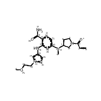 C=CC(=O)N1CCC(N(C)c2cnc(C(N)=O)c(Nc3cnn(CCOC)c3)n2)C1